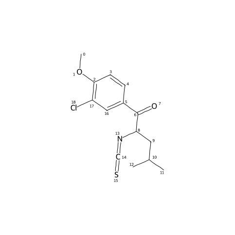 COc1ccc(C(=O)C(CC(C)C)N=C=S)cc1Cl